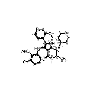 COc1c(Cl)cccc1Nc1c(-c2ccncc2OC[C@@H]2COCCN2C)[nH]c2c1C(=O)NC(C)C2